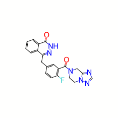 O=C(c1cc(Cc2n[nH]c(=O)c3ccccc23)ccc1F)N1CCn2ncnc2C1